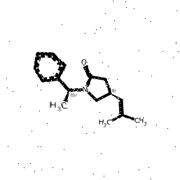 CC(C)=C[C@@H]1CC(=O)N([C@@H](C)c2ccccc2)C1